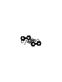 O=[N+]([O-])c1c(-c2ccccc2)cccc1S(=O)(=O)c1cccc(-c2ccccc2)c1[N+](=O)[O-]